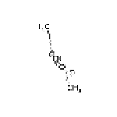 CCCCCCCCCCOc1cnc(-c2ccc(C(C=O)CCCCCC)cc2)nc1